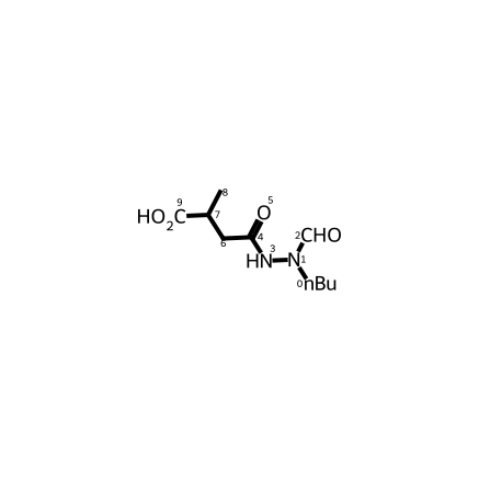 CCCCN(C=O)NC(=O)CC(C)C(=O)O